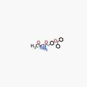 CC(=O)[C@@H](N)CNC(=O)Cc1ccc(OC(c2ccccc2)c2ccccc2)cc1